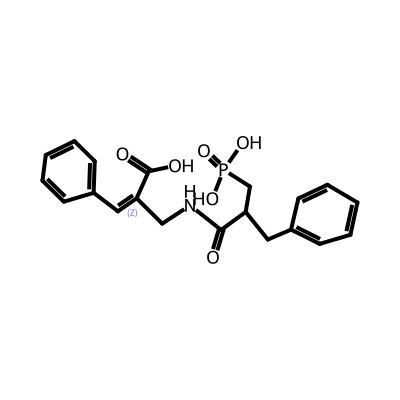 O=C(O)/C(=C\c1ccccc1)CNC(=O)C(Cc1ccccc1)CP(=O)(O)O